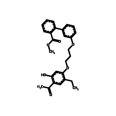 CCc1cc(C(C)=O)c(O)cc1OCCCOc1cccc(-c2ccccc2C(=O)OC)c1